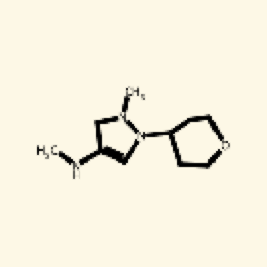 CNC1=CN(C2CCOCC2)N(C)C1